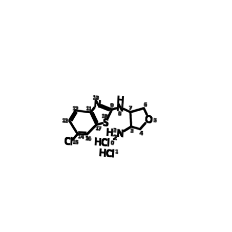 Cl.Cl.NC1COCC1Nc1nc2ccc(Cl)cc2s1